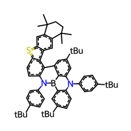 CC(C)(C)c1ccc(N2B3c4cc(C(C)(C)C)ccc4N(c4ccc(C(C)(C)C)cc4)c4cc(C(C)(C)C)cc(c43)-c3c2ccc2sc4cc5c(cc4c32)C(C)(C)CCC5(C)C)cc1